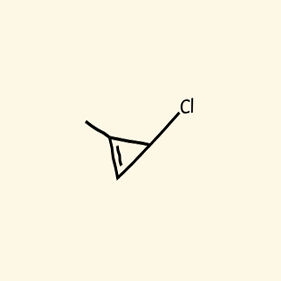 CC1=CC1Cl